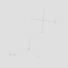 CCC(C)(C)OOC(=O)OCC(C)C